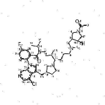 CC(=O)N1CC2CN(CCC[C@H](C(C)C)N3CC[C@@H](Cc4cn(-c5ccc(F)cc5C(=O)N(C)C(C)C)c5cncc(Cl)c45)C3)C[C@H]2C1